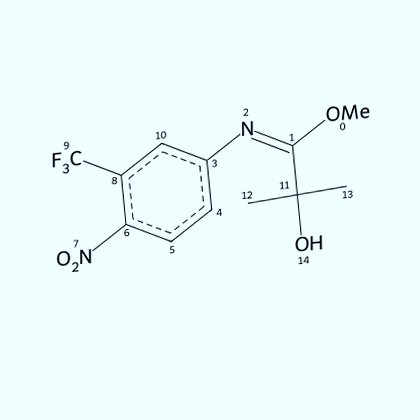 COC(=Nc1ccc([N+](=O)[O-])c(C(F)(F)F)c1)C(C)(C)O